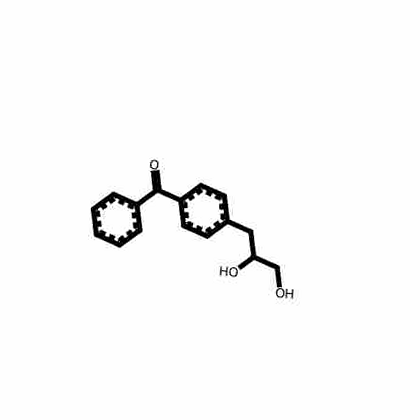 O=C(c1ccccc1)c1ccc(CC(O)CO)cc1